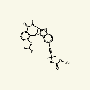 CN1C(=O)c2cccc(OC(F)F)c2C2CC1c1nc3ccc(C#CC(C)(C)NC(=O)OC(C)(C)C)cc3n12